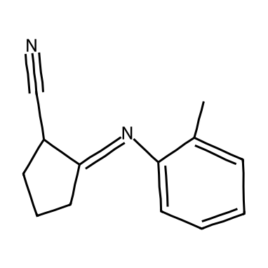 Cc1ccccc1N=C1CCCC1C#N